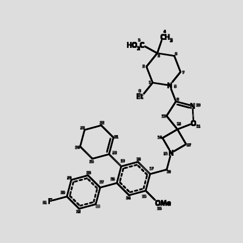 CCC1CC(C)(C(=O)O)CCN1C1=NOC2(C1)CN(Cc1cc(C3=CCCCC3)c(-c3ccc(F)cc3)cc1OC)C2